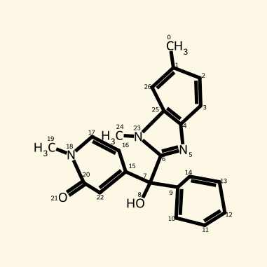 Cc1ccc2nc(C(O)(c3ccccc3)c3ccn(C)c(=O)c3)n(C)c2c1